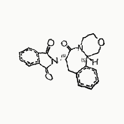 O=C1[C@@H](N2C(=O)c3ccccc3C2=O)Cc2ccccc2[C@H]2COCCN12